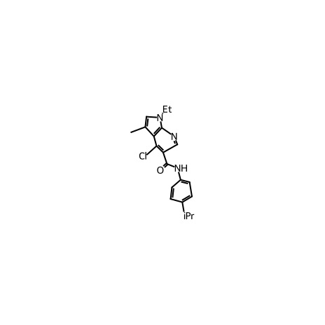 CCn1cc(C)c2c(Cl)c(C(=O)Nc3ccc(C(C)C)cc3)cnc21